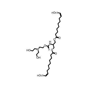 CCCCCCCC/C=C\CCCCCCCC(=O)OCC(COC(=O)CCCCCCC/C=C\CCCCCCCC)NC(=S)OCCN(CCO)CCO